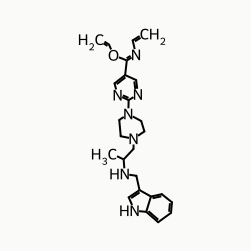 C=C/N=C(\OC=C)c1cnc(N2CCN(CC(C)NCc3c[nH]c4ccccc34)CC2)nc1